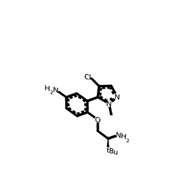 Cn1ncc(Cl)c1-c1cc(N)ccc1OC[C@@H](N)C(C)(C)C